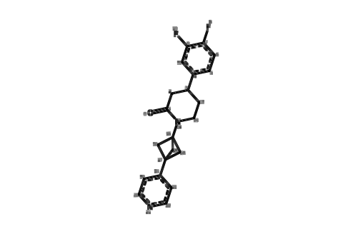 O=C1CC(c2ccc(F)c(F)c2)CCN1C12CC(c3ccncc3)(C1)C2